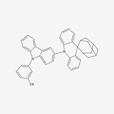 N#Cc1cccc(-n2c3ccccc3c3cc(N4c5ccccc5C5(c6ccccc64)C4CC6CC(C4)CC5C6)ccc32)c1